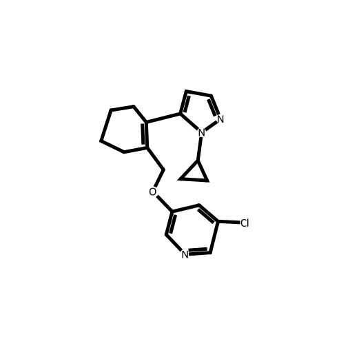 Clc1cncc(OCC2=C(c3ccnn3C3CC3)CCCC2)c1